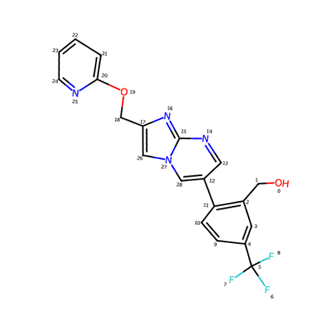 OCc1cc(C(F)(F)F)ccc1-c1cnc2nc(COc3ccccn3)cn2c1